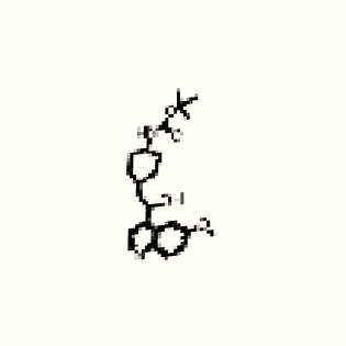 COc1ccc2nccc(C(O)CC3CCC(NC(=O)OC(C)(C)C)CC3)c2c1